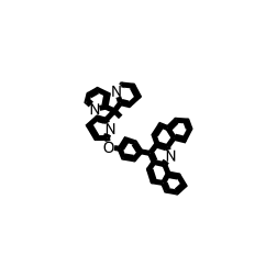 CC(c1ccccn1)(c1ccccn1)c1cccc(Oc2ccc(-c3c4ccc5ccccc5c4nc4c3ccc3ccccc34)cc2)n1